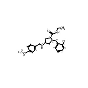 CCNC(=O)[C@@H]1C[C@H](NCc2ccc(OC)cc2)CN1Cc1ccccc1Cl